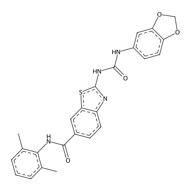 Cc1cccc(C)c1NC(=O)c1ccc2nc(NC(=O)Nc3ccc4c(c3)OCO4)sc2c1